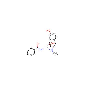 CN1CC[C@]23C[C@@H](NC(=O)c4ccccc4)CC2(O)C1Cc1ccc(O)cc13